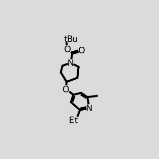 CCc1cc(OC2CCN(C(=O)OC(C)(C)C)CC2)cc(C)n1